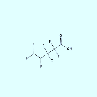 O=C(O)C(F)(F)C(F)(F)C(F)C(F)F